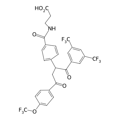 O=C(O)CCNC(=O)c1ccc(C(CC(=O)c2ccc(OC(F)(F)F)cc2)C(=O)c2cc(C(F)(F)F)cc(C(F)(F)F)c2)cc1